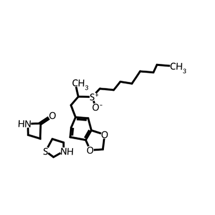 C1CSCN1.CCCCCCCC[S+]([O-])C(C)Cc1ccc2c(c1)OCO2.O=C1CCN1